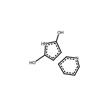 Oc1ccc(O)[nH]1.c1ccncc1